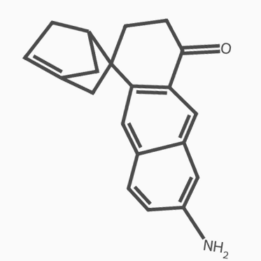 Nc1ccc2cc3c(cc2c1)C(=O)CCC31CC2=CCC1C2